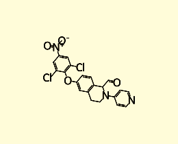 O=CC1c2ccc(Oc3c(Cl)cc([N+](=O)[O-])cc3Cl)cc2CCN1c1ccncc1